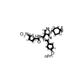 CCCOc1ccc(-c2nc(NC(=O)c3ccc([N+](=O)[O-])s3)c3cnn(C4CCC(F)(F)CC4)c3n2)cc1